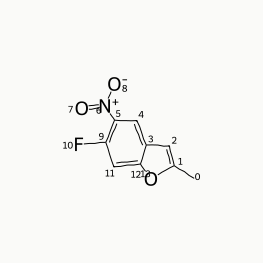 Cc1cc2cc([N+](=O)[O-])c(F)cc2o1